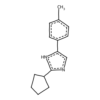 Cc1ccc(-c2cnc(C3CCCC3)[nH]2)cc1